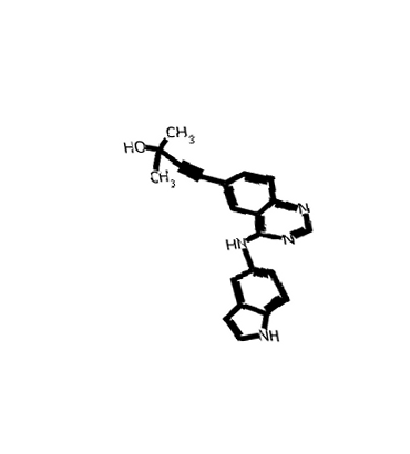 CC(C)(O)C#Cc1ccc2ncnc(Nc3ccc4[nH]ccc4c3)c2c1